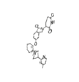 Cc1ccnc(C2CN([C@@H]3CCCC[C@@H]3Oc3ccc4c(c3)CN(C3CCC(=O)NC3=O)C4=O)C2)n1